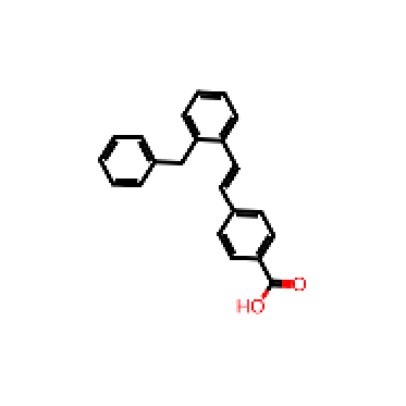 O=C(O)c1ccc(/C=C/c2ccccc2Cc2ccccc2)cc1